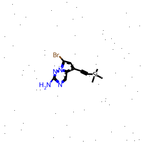 C[Si](C)(C)C#Cc1cc(Br)n2nc(N)ncc12